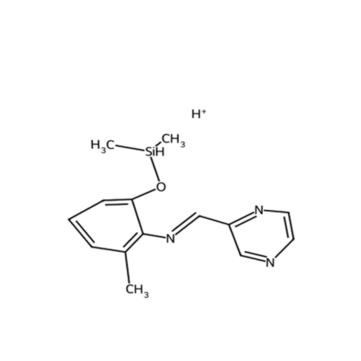 Cc1cccc(O[SiH](C)C)c1N=Cc1cnccn1.[H+]